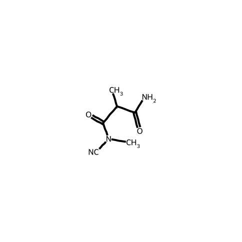 C[C](C(N)=O)C(=O)N(C)C#N